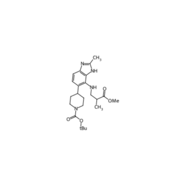 COC(=O)C(C)CNc1c(C2CCN(C(=O)OC(C)(C)C)CC2)ccc2nc(C)[nH]c12